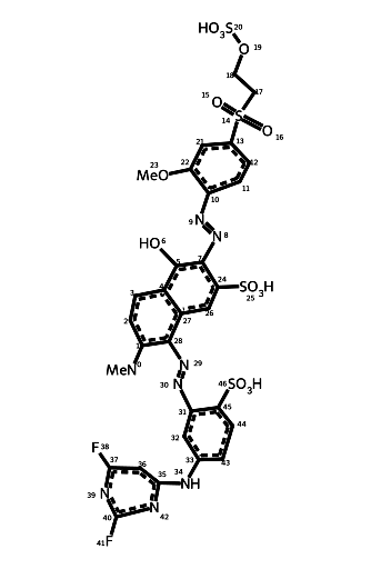 CNc1ccc2c(O)c(/N=N/c3ccc(S(=O)(=O)CCOS(=O)(=O)O)cc3OC)c(S(=O)(=O)O)cc2c1/N=N/c1cc(Nc2cc(F)nc(F)n2)ccc1S(=O)(=O)O